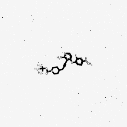 CNc1ccc(Oc2ccnc(N)c2C#CCC2CCN(C(=O)OC(C)(C)C)CC2)c(F)c1